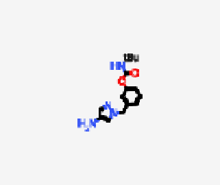 CC(C)(C)NC(=O)Oc1cccc(Cn2cc(N)cn2)c1